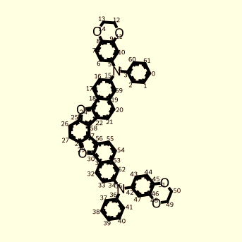 c1ccc(N(c2ccc3c(c2)OCCO3)c2ccc3c(ccc4c3oc3ccc5oc6c7ccc(N(c8ccccc8)c8ccc9c(c8)OCCO9)cc7ccc6c5c34)c2)cc1